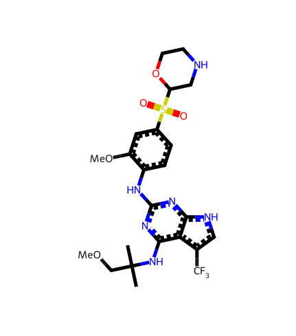 COCC(C)(C)Nc1nc(Nc2ccc(S(=O)(=O)C3CNCCO3)cc2OC)nc2[nH]cc(C(F)(F)F)c12